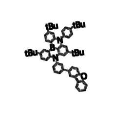 CC(C)(C)c1ccc(N2c3cc(C(C)(C)C)ccc3B3c4cc(C(C)(C)C)ccc4N(c4cccc(-c5ccc6oc7ccccc7c6c5)c4)c4cc(C(C)(C)C)cc2c43)cc1